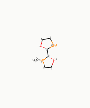 CP1CCO[C@H]1[C@@H]1OCCP1